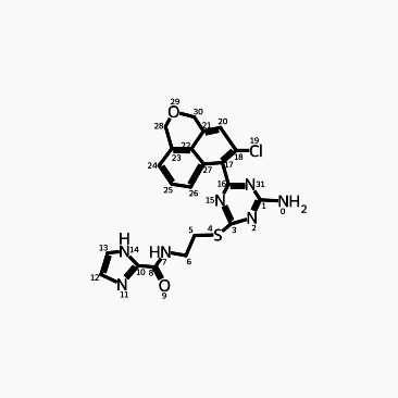 Nc1nc(SCCNC(=O)c2ncc[nH]2)nc(-c2c(Cl)cc3c4c(cccc24)COC3)n1